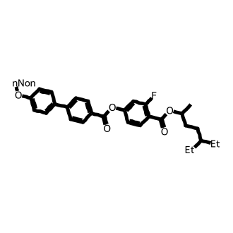 CCCCCCCCCOc1ccc(-c2ccc(C(=O)Oc3ccc(C(=O)OC(C)CCC(CC)CC)c(F)c3)cc2)cc1